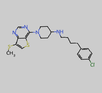 CSc1csc2c(N3CCC(NCCCCc4ccc(Cl)cc4)CC3)ncnc12